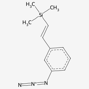 C[Si](C)(C)C=Cc1cccc(N=[N+]=[N-])c1